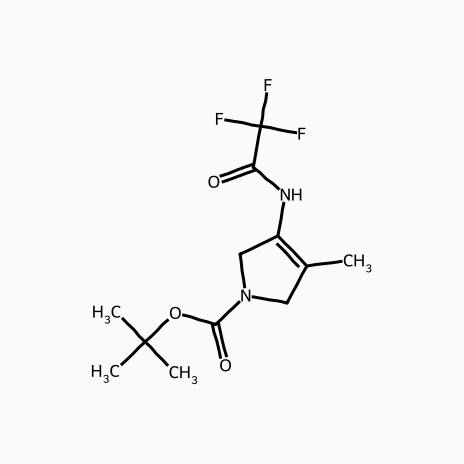 CC1=C(NC(=O)C(F)(F)F)CN(C(=O)OC(C)(C)C)C1